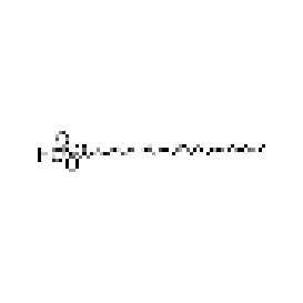 CCCCCCCCCCCCCCCCCCCCCCOC(=O)C(=O)O